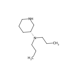 CCCN(CCC)[C@@H]1CCCNC1